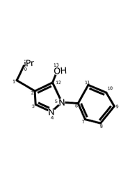 CC(C)Cc1cnn(-c2ccccc2)c1O